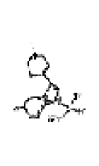 CC(C)[Si](C(C)C)(C(C)C)n1cc(C2=CCN(C)CC2)c2cc(Br)ccc21